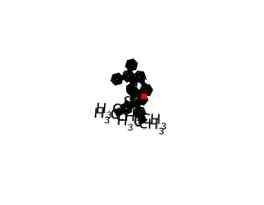 CC(C)(C)c1ccc(N2c3cccc4c3B(c3ccc5cc3N4c3ccccc3Sc3ccccc3N5c3cc(-c4ccccc4)cc(-c4ccccc4)c3)c3sc4cc(C(C)(C)C)ccc4c32)cc1